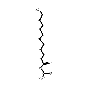 CCCCCCCCCCCCCCCCCCCCC(=O)NC(C(=O)O)C(C)CC